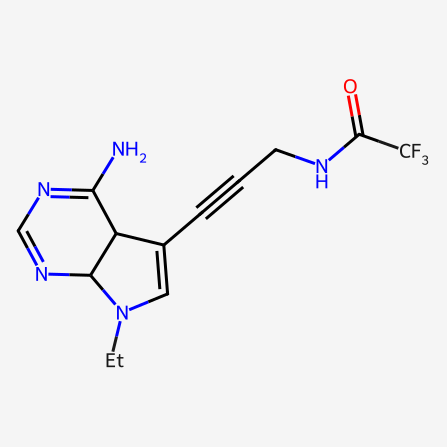 CCN1C=C(C#CCNC(=O)C(F)(F)F)C2C(N)=NC=NC21